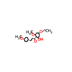 CCCOc1cc(O)c(C(=O)/C=C/c2ccc(OC)cc2)c(OC)c1